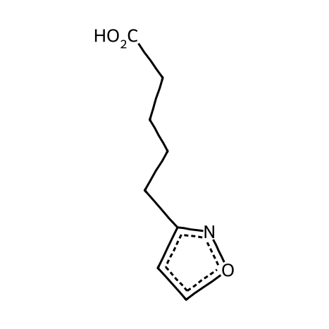 O=C(O)CCCCc1ccon1